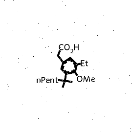 CCCCCC(C)(C)c1cc(CC(=O)O)cc(CC)c1OC